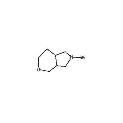 CC(C)N1CC2CCOCC2C1